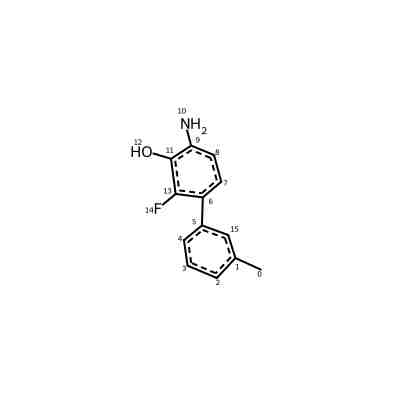 Cc1cccc(-c2ccc(N)c(O)c2F)c1